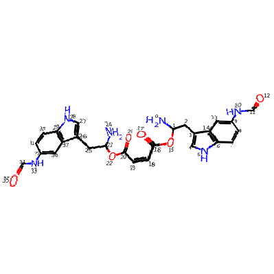 NC(Cc1c[nH]c2ccc(NC=O)cc12)OC(=O)/C=C\C(=O)OC(N)Cc1c[nH]c2ccc(NC=O)cc12